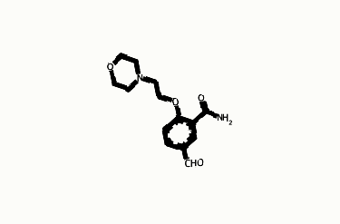 NC(=O)c1cc(C=O)ccc1OCCN1CCOCC1